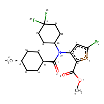 COC(=O)c1sc(Br)cc1N(C(=O)[C@H]1CC[C@H](C)CC1)C1CCC(F)(F)CC1